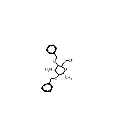 CCSC1O[C@H](C)[C@@H](OCc2ccccc2)[C@H](N)[C@H]1OCc1ccccc1